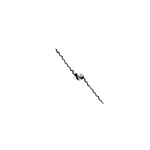 CC(C)CCCCCCCCCCCCCCC(=O)[O][Ti](=[O])([O]C(=O)CCCCCCCCCCCCCCC(C)C)([CH](C)C)[CH](C)C